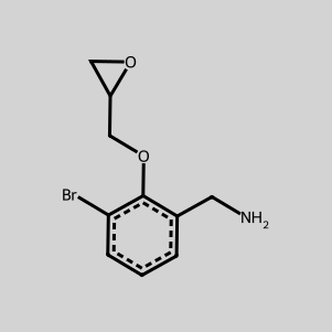 NCc1cccc(Br)c1OCC1CO1